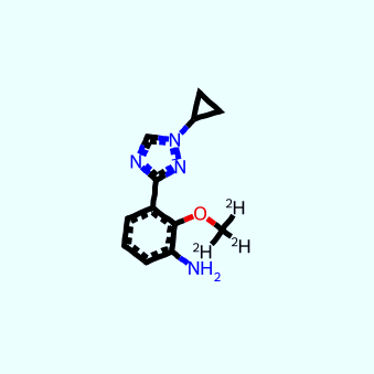 [2H]C([2H])([2H])Oc1c(N)cccc1-c1ncn(C2CC2)n1